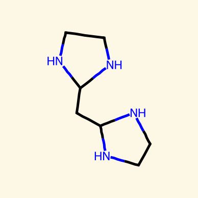 C1CNC(CC2NCCN2)N1